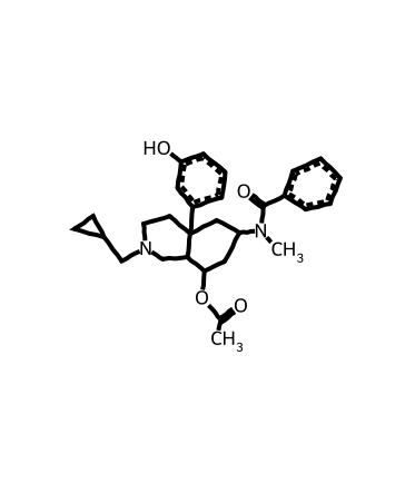 CC(=O)OC1CC(N(C)C(=O)c2ccccc2)CC2(c3cccc(O)c3)CCN(CC3CC3)CC12